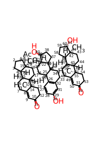 CC(=O)[C@H]1CC[C@H]2[C@@H]3CCC4=CC(=O)CC[C@]4(C)[C@H]3CC[C@]12C.C[C@]12CC[C@@H]3c4ccc(O)cc4CC[C@H]3[C@@H]1CC[C@@H]2O.C[C@]12CC[C@H]3[C@@H](CCC4=CC(=O)CC[C@@]43C)[C@@H]1CC[C@@H]2O